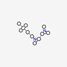 c1ccc(-c2c3ccccc3c(-c3ccc(-c4ccc(-n5c6ccccc6c6ccc(-c7ccc8c(c7)c7ccccc7n8-c7ccccc7)cc65)cc4)cc3)c3ccccc23)cc1